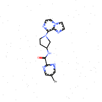 CC(C)c1cnc(C(=O)NC2CCN(c3nccn4ccnc34)C2)nc1